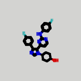 O[C@H]1CC[C@@H](n2cnc(-c3ccc(F)cc3)c2-c2ccnc(Nc3ccc(F)cc3)n2)CC1